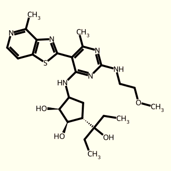 CCC(O)(CC)[C@H]1CC(Nc2nc(NCCOC)nc(C)c2-c2nc3c(C)nccc3s2)[C@H](O)[C@@H]1O